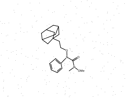 CON(C)C(=O)N(OCCC12CC3CC(CC(C3)C1)C2)c1ccccc1